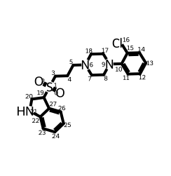 O=S(=O)(CCCN1CCN(c2ccccc2Cl)CC1)C1CNc2ccccc21